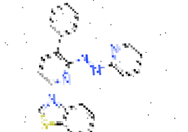 c1ccc(-c2cccnc2N=Nc2ccccn2)cc1.c1ccc2scnc2c1